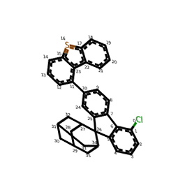 Clc1cccc2c1-c1ccc(-c3cccc4sc5ccccc5c34)cc1C21C2CC3CC(C2)CC1C3